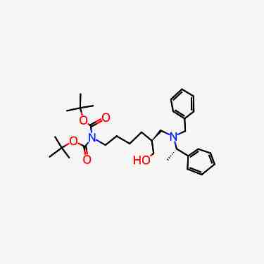 C[C@@H](c1ccccc1)N(Cc1ccccc1)C[C@@H](CO)CCCCN(C(=O)OC(C)(C)C)C(=O)OC(C)(C)C